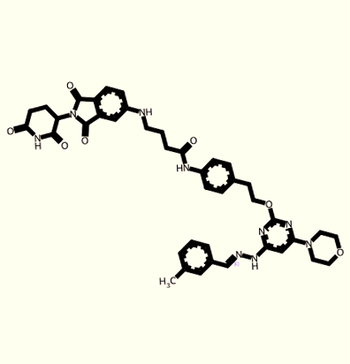 Cc1cccc(/C=N/Nc2cc(N3CCOCC3)nc(OCCc3ccc(NC(=O)CCCNc4ccc5c(c4)C(=O)N(C4CCC(=O)NC4=O)C5=O)cc3)n2)c1